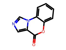 O=c1oc2ccccc2n2cncc12